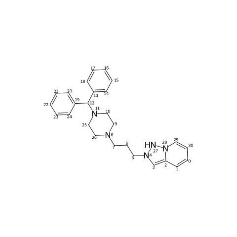 C1=CC2=CN(CCCN3CCN(C(c4ccccc4)c4ccccc4)CC3)NN2C=C1